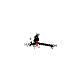 CC(C)=CCC[C@@H](C)[C@H]1CCC2=C3CCC4CC(O)CC[C@]4(C)C3(CCCCCCCCCCCCCCCC=CC(=O)O)CC[C@@]21C